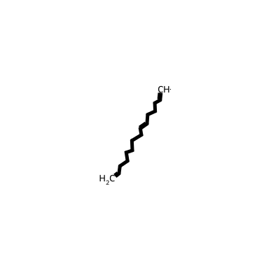 [CH]=CCCCC=CCCCCCCC=C